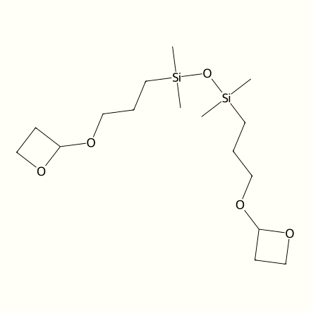 C[Si](C)(CCCOC1CCO1)O[Si](C)(C)CCCOC1CCO1